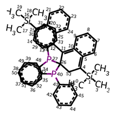 C[Si](C)(C)C1=c2ccccc2=C(c2ccc([Si](C)(C)C)c3ccccc23)C(P(c2ccccc2)c2ccccc2)(P(c2ccccc2)c2ccccc2)C1